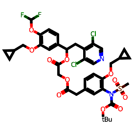 CC(C)(C)OC(=O)N(c1cc(CC(=O)OCC(=O)OC(Cc2c(Cl)cncc2Cl)c2ccc(OC(F)F)c(OCC3CC3)c2)ccc1OCC1CC1)S(C)(=O)=O